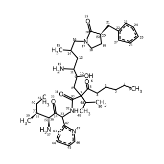 CCCCCC(=O)C(CC(O)C(N)CC(C)CN1CC[C@H](Cc2ccccc2)C1=O)(C(=O)NC(C(=O)[C@@H](N)[C@@H](C)CC)c1ccccn1)C(C)C